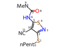 CCCCCSc1nsc(NC(=O)NC)c1C#N